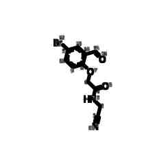 N#CCNC(=O)COc1ccc(Br)cc1C=O